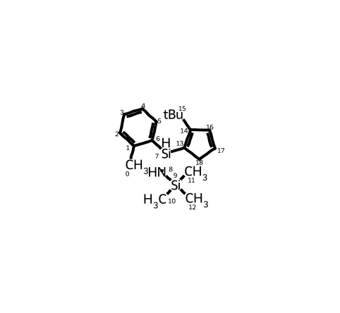 Cc1ccccc1[SiH](N[Si](C)(C)C)C1=C(C(C)(C)C)C=CC1